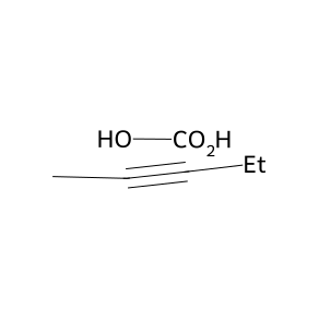 CC#CCC.O=C(O)O